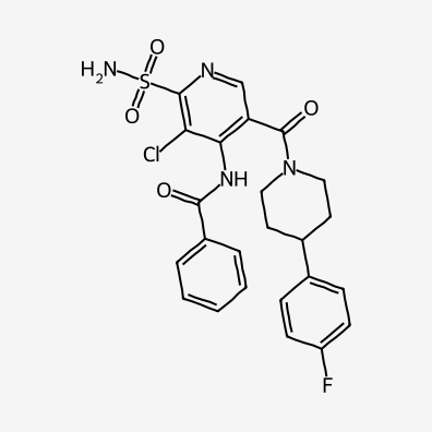 NS(=O)(=O)c1ncc(C(=O)N2CCC(c3ccc(F)cc3)CC2)c(NC(=O)c2ccccc2)c1Cl